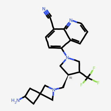 N#Cc1ccc(N2CC(C(F)(F)F)[C@@H](CN3CC4(CC(N)C4)C3)C2)c2cccnc12